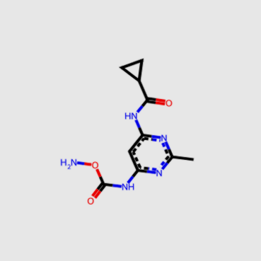 Cc1nc(NC(=O)ON)cc(NC(=O)C2CC2)n1